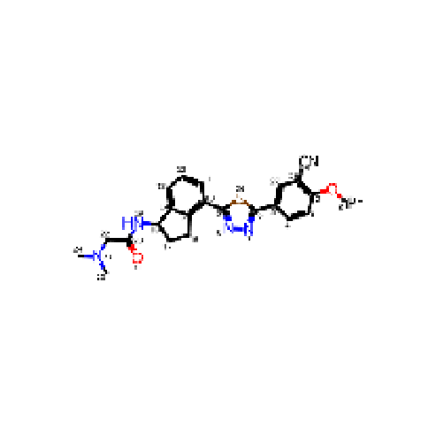 CC(C)Oc1ccc(-c2nnc(-c3cccc4c3CC[C@H]4NC(=O)CN(C)C)s2)cc1C#N